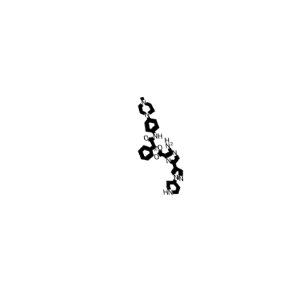 CN1CCN(c2ccc(NC(=O)[C@H](OC(=O)c3nc(-c4cnn(C5CCNCC5)c4)cnc3N)c3ccccc3)cc2)CC1